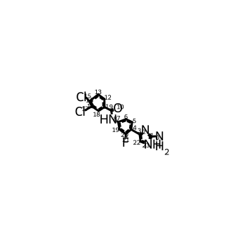 Nc1nc(-c2ccc(NC(=O)c3ccc(Cl)c(Cl)c3)cc2F)c[nH]1